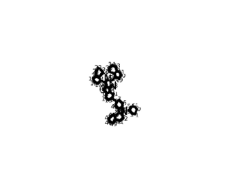 c1ccc(-n2c3ccc(-c4ccc5oc6c(-c7cccc8ccccc78)nc(-c7cccc8ccccc78)nc6c5c4)cc3c3c4ccccc4ccc32)cc1